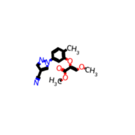 CO/C=C(\Oc1cc(-n2cc(C#N)cn2)ccc1C)C(=O)OC